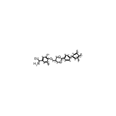 CCC(N)c1cc(F)c(OCC2COC(c3ccc(-c4cc(F)c(F)c(F)c4)cc3)OC2)c(F)c1